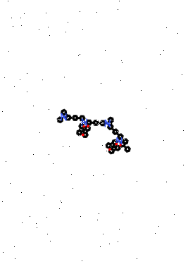 c1ccc(-c2ccc(N(c3cccc(-c4ccc(-c5ccc6c(c5)c5ccccc5n6-c5ccc(-c6ccc(-c7ccc(N(c8cccc(-c9ccc(-c%10ccc%11c(c%10)c%10ccccc%10n%11-c%10ccccc%10)cc9)c8)c8ccc9c(c8)C8(c%10ccccc%10-c%10ccccc%108)c8ccccc8-9)cc7)cc6)cc5)cc4)c3)c3ccc4c(c3)C3(c5ccccc5-c5ccccc53)c3ccccc3-4)c3ccccc23)cc1